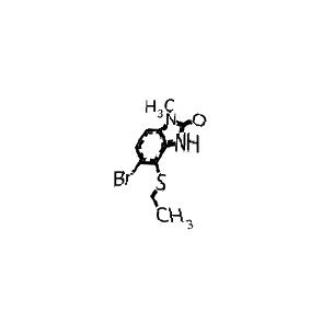 CCSc1c(Br)ccc2c1[nH]c(=O)n2C